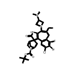 CCC1=C(N2CC(N(C)C)C2)C2=C(c3cc(Cl)c(Br)c(F)c3C1)C1(CC3CC1CN3C(=O)OC(C)(C)C)C(=O)N2